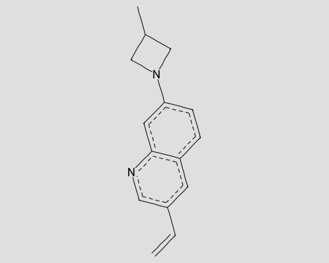 C=Cc1cnc2cc(N3CC(C)C3)ccc2c1